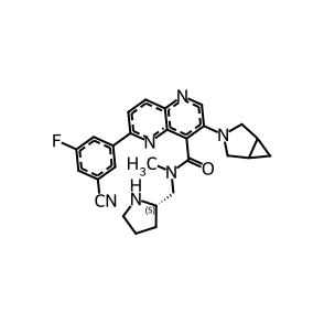 CN(C[C@@H]1CCCN1)C(=O)c1c(N2CC3CC3C2)cnc2ccc(-c3cc(F)cc(C#N)c3)nc12